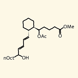 CCCCCCCCC(O)C=CC=C[C@@H]1CCCC[C@H]1C(CCCC(=O)OC)OC(C)=O